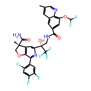 Cc1cnc2c(OC(F)F)cc(C(=O)NC[C@](O)(c3cc4c(c(-c5cc(F)c(F)cc5F)n3)OC[C@]4(C)C(N)=O)C(F)(F)F)cc2c1